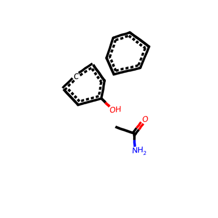 CC(N)=O.Oc1ccccc1.c1ccccc1